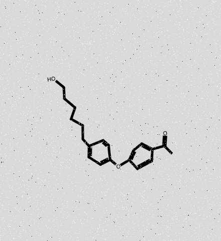 CC(=O)c1ccc(Oc2ccc(CCCCCCO)cc2)cc1